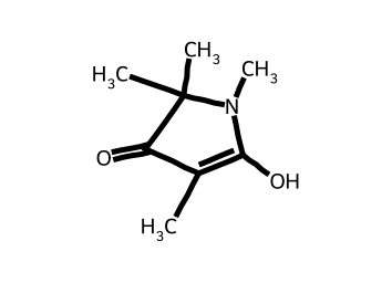 CC1=C(O)N(C)C(C)(C)C1=O